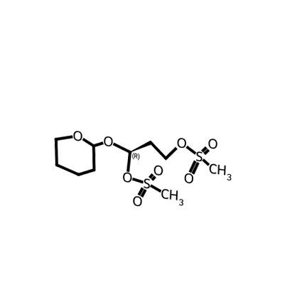 CS(=O)(=O)OCC[C@H](OC1CCCCO1)OS(C)(=O)=O